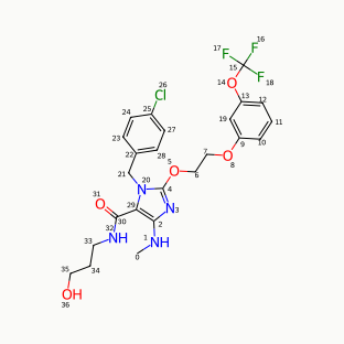 CNc1nc(OCCOc2cccc(OC(F)(F)F)c2)n(Cc2ccc(Cl)cc2)c1C(=O)NCCCO